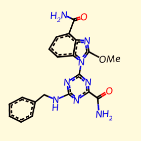 COc1nc2c(C(N)=O)cccc2n1-c1nc(NCc2ccccc2)nc(C(N)=O)n1